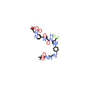 CN(CCCNC(=O)OC(C)(C)C)C[C@H]1CC[C@H](n2cc(NC(=O)c3coc(-c4ccnc(N(CC5CC5)C(=O)O)c4)n3)c(C(F)F)n2)CC1